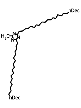 CCCCCCCCCCCCCCCCCCCCCCCCCCCCc1nc(C)nc(CCCCCCCCCCCCCCCCCCCCCCCCCCCC)n1